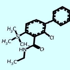 CCNC(=O)c1c([Si](C)(C)C)ccc(-c2ccccc2)c1Cl